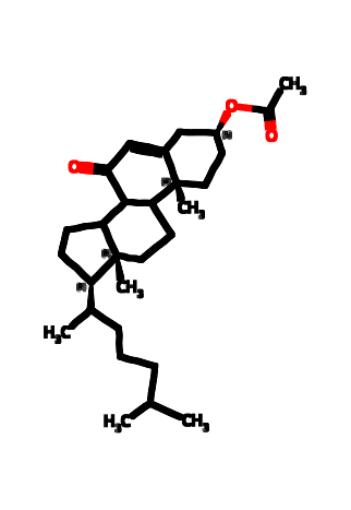 CC(=O)O[C@H]1CC[C@@]2(C)C(=CC(=O)C3C2CC[C@@]2(C)C3CC[C@@H]2C(C)CCCC(C)C)C1